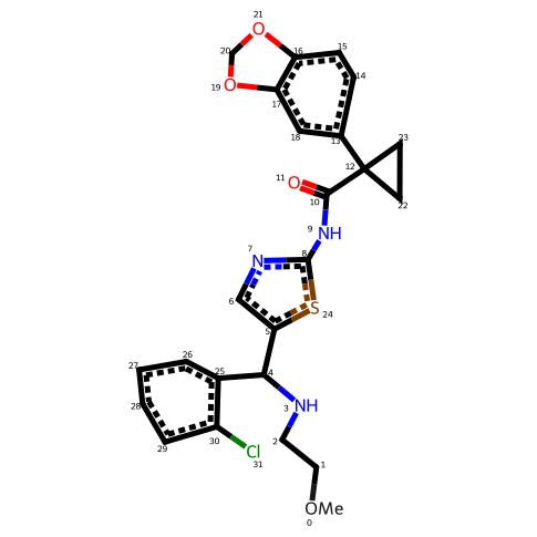 COCCNC(c1cnc(NC(=O)C2(c3ccc4c(c3)OCO4)CC2)s1)c1ccccc1Cl